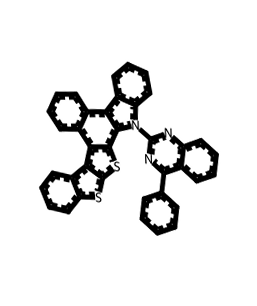 c1ccc(-c2nc(-n3c4ccccc4c4c5ccccc5c5c(sc6sc7ccccc7c65)c43)nc3ccccc23)cc1